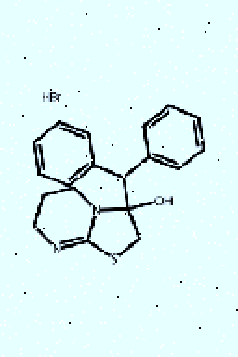 Br.OC1(C(c2ccccc2)c2ccccc2)CSC2=NCCCN21